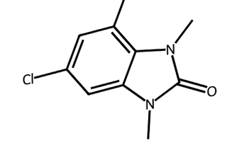 Cn1c(=O)n(C)c2c(Br)cc(Cl)cc21